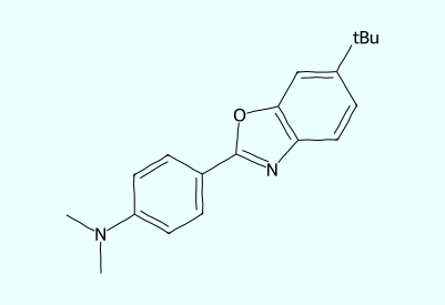 CN(C)c1ccc(-c2nc3ccc(C(C)(C)C)cc3o2)cc1